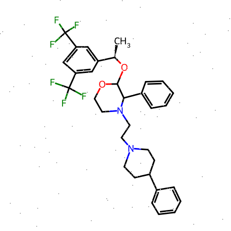 C[C@@H](OC1OCCN(CCN2CCC(c3ccccc3)CC2)C1c1ccccc1)c1cc(C(F)(F)F)cc(C(F)(F)F)c1